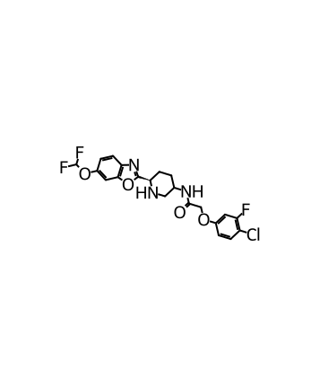 O=C(COc1ccc(Cl)c(F)c1)NC1CC[C@H](c2nc3ccc(OC(F)F)cc3o2)NC1